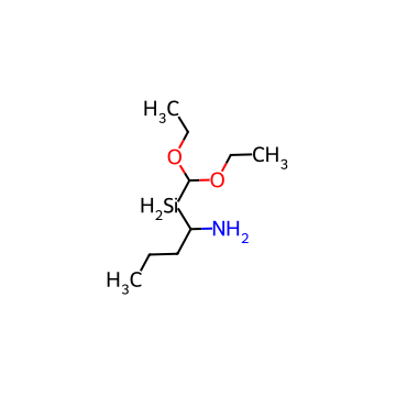 CCCC(N)[SiH2]C(OCC)OCC